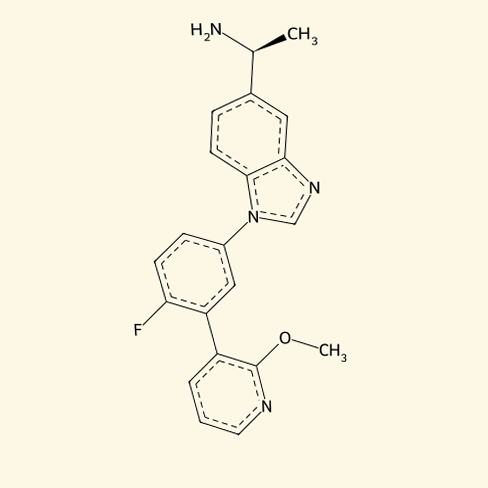 COc1ncccc1-c1cc(-n2cnc3cc([C@H](C)N)ccc32)ccc1F